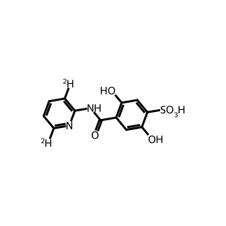 [2H]c1ccc([2H])c(NC(=O)c2cc(O)c(S(=O)(=O)O)cc2O)n1